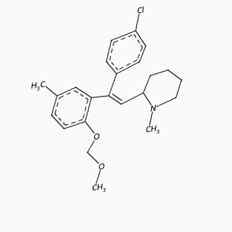 COCOc1ccc(C)cc1C(=CC1CCCCN1C)c1ccc(Cl)cc1